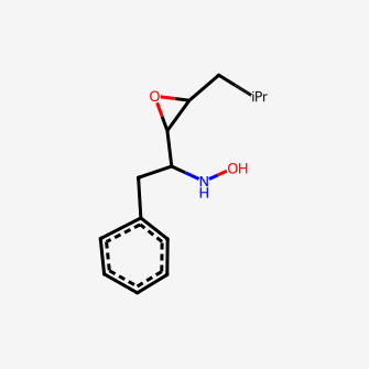 CC(C)CC1OC1C(Cc1ccccc1)NO